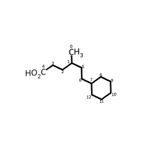 CC(CCC(=O)O)CCC1CCCCC1